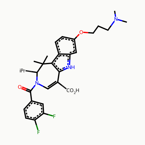 CC(C)C1N(C(=O)c2ccc(F)c(F)c2)C=C(C(=O)O)c2[nH]c3cc(OCCCN(C)C)ccc3c2C1(C)C